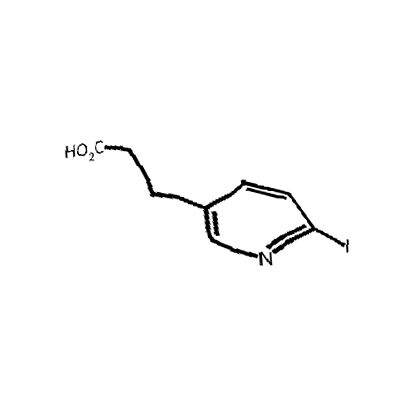 O=C(O)CCc1ccc(I)nc1